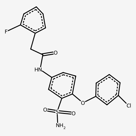 NS(=O)(=O)c1cc(NC(=O)Cc2ccccc2F)ccc1Oc1cccc(Cl)c1